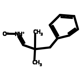 CC(C)(C=[NH+][O-])Cc1ccccc1